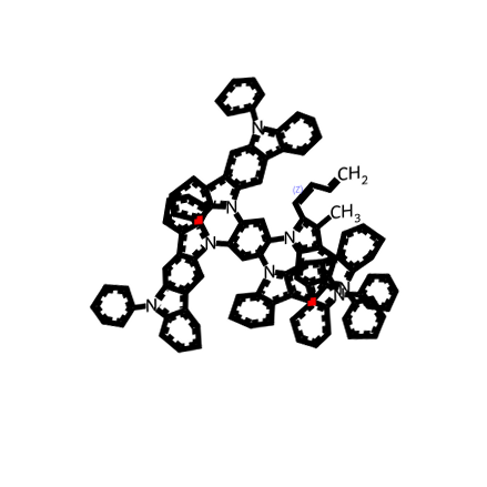 C=C/C=C\c1c(C)c2cc3c(cc2n1-c1cc(-n2c4ccccc4c4cc5c(cc42)c2ccccc2n5-c2ccccc2)c(-n2c4ccccc4c4cc5c(cc42)c2ccccc2n5-c2ccccc2)cc1-n1c2ccccc2c2cc4c(cc21)c1ccccc1n4-c1ccccc1)c1ccccc1n3-c1ccccc1